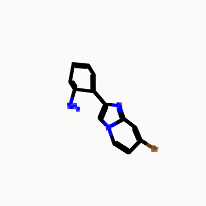 Nc1ccccc1-c1cn2ccc(Br)cc2n1